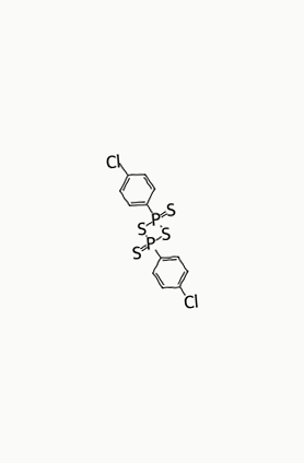 S=P1(c2ccc(Cl)cc2)SP(=S)(c2ccc(Cl)cc2)S1